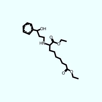 CCOC(=O)CCCCCCC(NCCC(O)c1ccccc1)C(=O)OCC